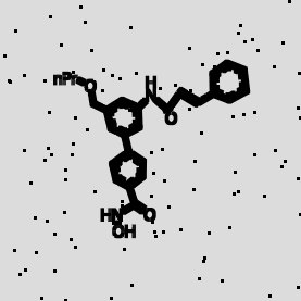 CCCOCc1cc(NC(=O)C=Cc2ccccc2)cc(-c2ccc(C(=O)NO)cc2)c1